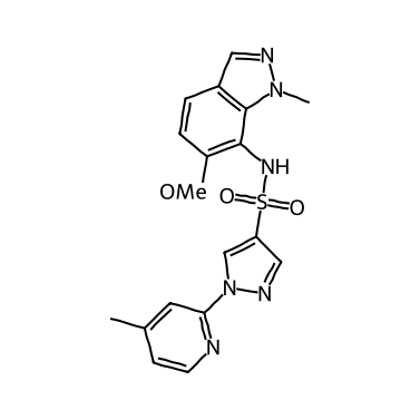 COc1ccc2cnn(C)c2c1NS(=O)(=O)c1cnn(-c2cc(C)ccn2)c1